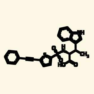 CC(c1c[nH]c2ccccc12)[C@H](NS(=O)(=O)c1ccc(C#Cc2ccccc2)s1)C(=O)O